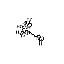 CO[C@H](CF)CN(CCCCc1ccc2c(n1)NCCC2)CC[C@H](NC(=O)C1(c2ncccc2C(F)F)CC1)C(=O)O